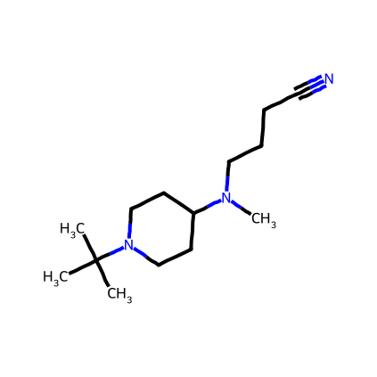 CN(CCCC#N)C1CCN(C(C)(C)C)CC1